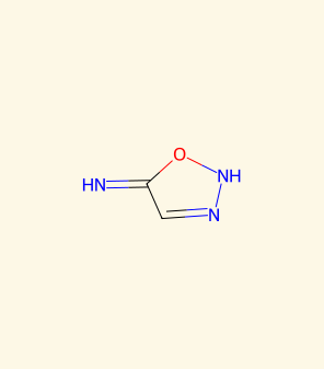 N=c1cn[nH]o1